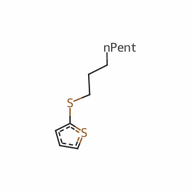 CCCCCCCCSc1cccs1